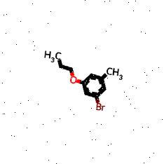 CCCOc1cc(C)cc(Br)c1